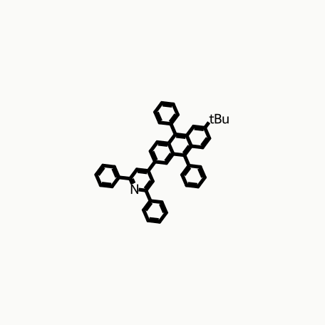 CC(C)(C)c1ccc2c(-c3ccccc3)c3cc(-c4cc(-c5ccccc5)nc(-c5ccccc5)c4)ccc3c(-c3ccccc3)c2c1